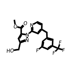 COC(=O)c1cc(CO)nn1-c1cc(Cc2cc(F)cc(C(F)(F)F)c2)ccn1